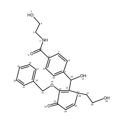 O=C(NCCO)c1ccc(C(O)c2c(OCc3ccccc3)c(=O)ccn2CCO)cc1